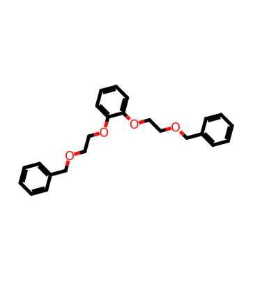 c1ccc(COCCOc2ccccc2OCCOCc2ccccc2)cc1